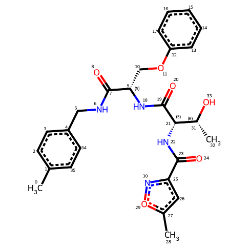 Cc1ccc(CNC(=O)[C@H](COc2ccccc2)NC(=O)[C@@H](NC(=O)c2cc(C)on2)[C@@H](C)O)cc1